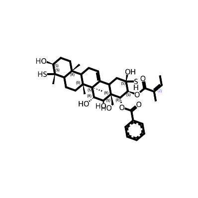 C/C=C(/C)C(=O)O[C@H]1[C@H](OC(=O)c2ccccc2)[C@@]2(CO)C(C[C@]1(O)S)C1=CCC3[C@@]4(C)CC[C@H](O)[C@@](C)(S)C4CC[C@@]3(C)[C@]1(C)[C@@H](O)[C@H]2O